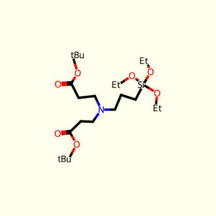 CCO[Si](CCCN(CCC(=O)OC(C)(C)C)CCC(=O)OC(C)(C)C)(OCC)OCC